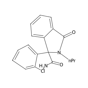 CCCN1C(=O)c2ccccc2C1(C(N)=O)c1ccccc1Cl